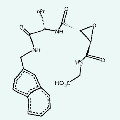 CCC[C@H](NC(=O)[C@@H]1O[C@H]1C(=O)NCC(=O)O)C(=O)NCc1ccc2ccccc2c1